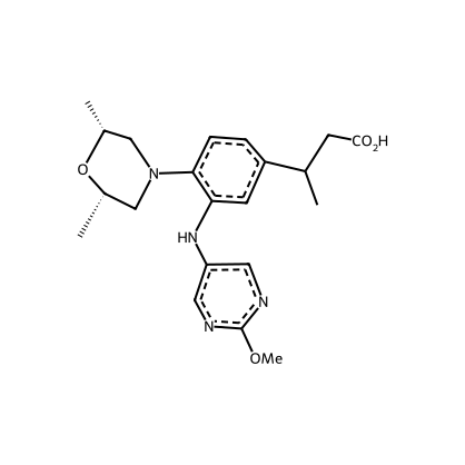 COc1ncc(Nc2cc(C(C)CC(=O)O)ccc2N2C[C@@H](C)O[C@@H](C)C2)cn1